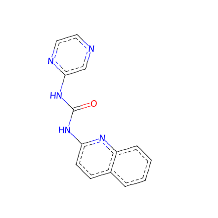 O=C(Nc1cnccn1)Nc1ccc2ccccc2n1